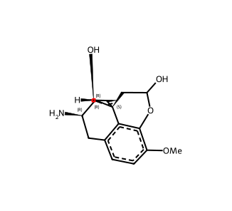 COc1ccc2c3c1OC(O)C[C@@]31C=C[C@H](O)C[C@H]1[C@H](N)C2